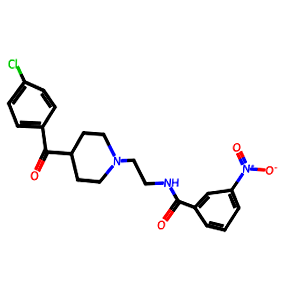 O=C(NCCN1CCC(C(=O)c2ccc(Cl)cc2)CC1)c1cccc([N+](=O)[O-])c1